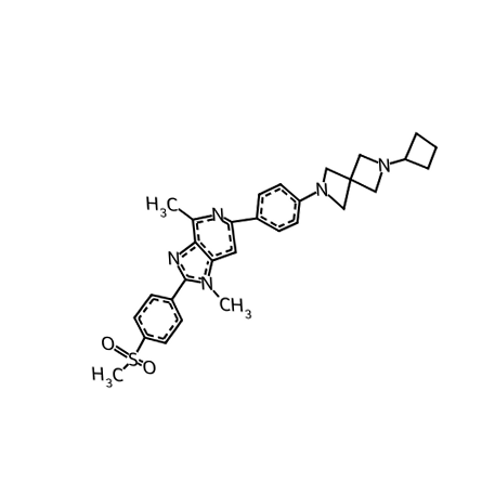 Cc1nc(-c2ccc(N3CC4(C3)CN(C3CCC3)C4)cc2)cc2c1nc(-c1ccc(S(C)(=O)=O)cc1)n2C